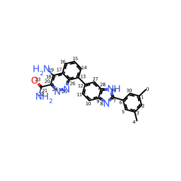 Cc1cc(C)cc(-c2nc3ccc(-c4cccc5c(N)c(C(N)=O)nnc45)cc3[nH]2)c1